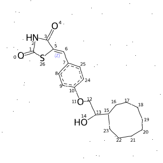 O=C1NC(=O)/C(=C/c2ccc(OCC(O)C3CCCCCCCC3)cc2)S1